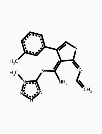 C=C/N=C1/SC=C(c2cccc(C)c2)/C1=C(/N)Sc1nnnn1C